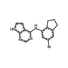 Brc1cc2c(c(Nc3ncnc4[nH]ccc34)c1)CCC2